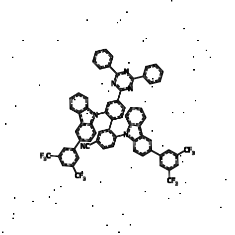 N#Cc1ccc(-n2c3ccccc3c3cc(-c4cc(C(F)(F)F)cc(C(F)(F)F)c4)ccc32)c(-c2ccc(-c3nc(-c4ccccc4)nc(-c4ccccc4)n3)cc2-n2c3ccccc3c3cc(-c4cc(C(F)(F)F)cc(C(F)(F)F)c4)ccc32)c1